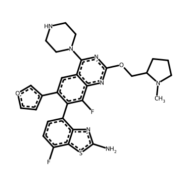 CN1CCCC1COc1nc(N2CCNCC2)c2cc(-c3ccoc3)c(-c3ccc(F)c4sc(N)nc34)c(F)c2n1